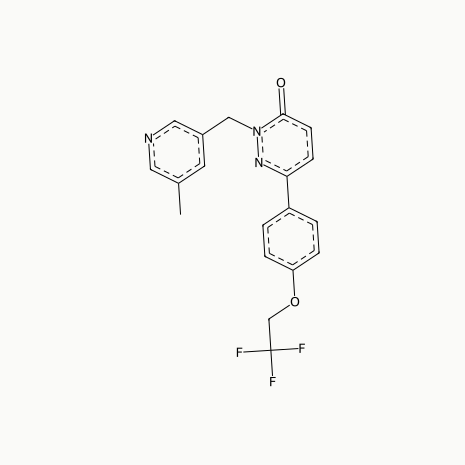 Cc1cncc(Cn2nc(-c3ccc(OCC(F)(F)F)cc3)ccc2=O)c1